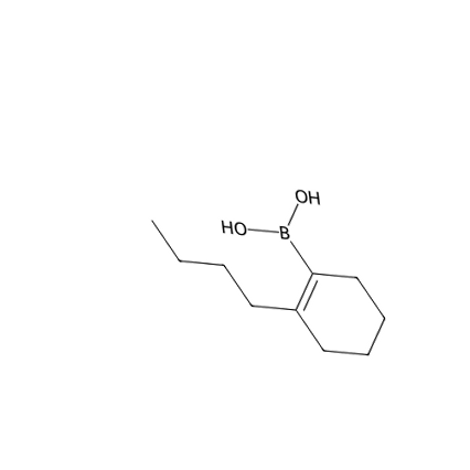 CCCCC1=C(B(O)O)CCCC1